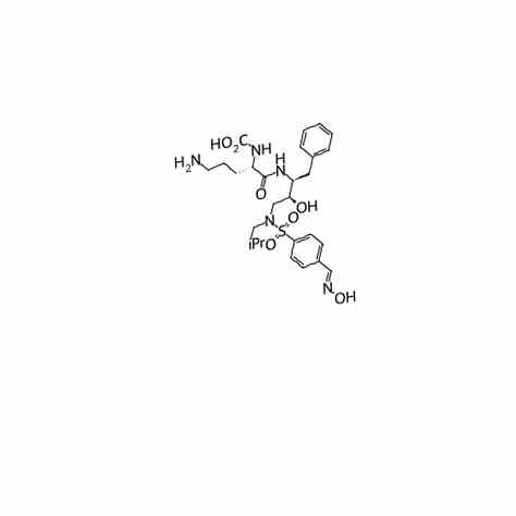 CC(C)CN(C[C@H](O)[C@H](Cc1ccccc1)NC(=O)[C@H](CCCN)NC(=O)O)S(=O)(=O)c1ccc(C=NO)cc1